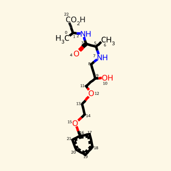 CC(NC(=O)C(C)NCC(O)COCCOc1ccccc1)C(=O)O